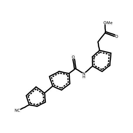 COC(=O)Cc1cccc(NC(=O)c2ccc(-c3ccc(C#N)cc3)cc2)c1